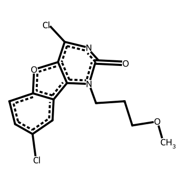 COCCCn1c(=O)nc(Cl)c2oc3ccc(Cl)cc3c21